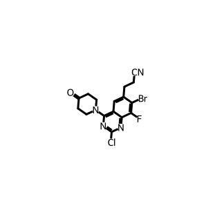 N#CCCc1cc2c(N3CCC(=O)CC3)nc(Cl)nc2c(F)c1Br